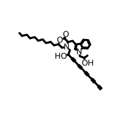 C#CC#CC#CC#CC#CC(O)CN1CC(CCCCCCCCCC)OC(=O)C1Cc1cn(CC(C)O)c2ccccc12